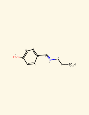 O=S(=O)(O)CCN=Cc1ccc(O)cc1